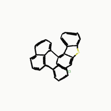 Clc1cc(-c2cccc3cccc(-c4ccccc4)c23)c2c(c1)sc1ccccc12